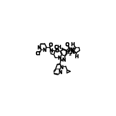 COc1cc(C(=O)N2C[C@H]3CC[C@@H]2[C@@H]3N)cc2nc(-c3cc4cccnc4n3CC3CC3)n(CC3CN(C(=O)c4ccnc(Cl)n4)C3)c12